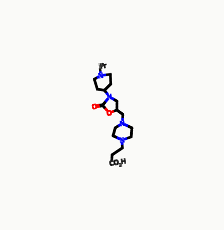 CC(C)N1CCC(N2CC(CN3CCN(CCC(=O)O)CC3)OC2=O)CC1